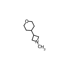 CN1CC(C2CCOCC2)C1